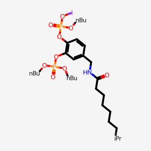 CCCCOP(=O)(OI)Oc1ccc(CNC(=O)CCCCCCC(C)C)cc1OP(=O)(OCCCC)OCCCC